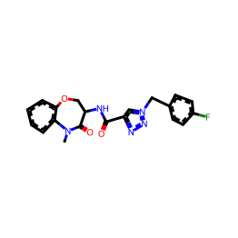 CN1C(=O)C(NC(=O)c2cn(Cc3ccc(F)cc3)nn2)COc2ccccc21